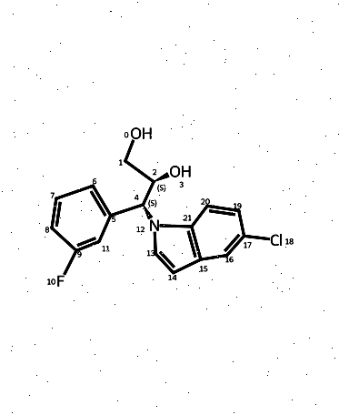 OC[C@@H](O)[C@H](c1cccc(F)c1)n1ccc2cc(Cl)ccc21